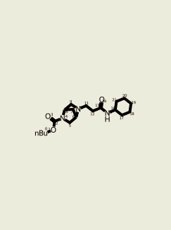 CCCCOC(=O)N1CC2CC1CN2CCC(=O)NC1CCCCC1